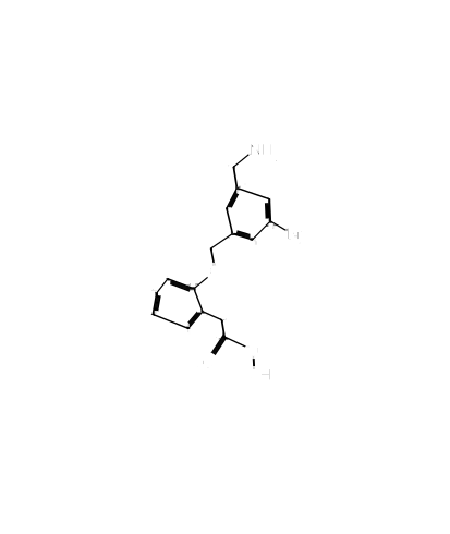 COC(=O)Cc1ccccc1OCc1cc(Br)cc(CN)c1